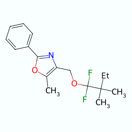 CCC(C)(C)C(F)(F)OCc1nc(-c2ccccc2)oc1C